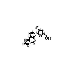 OC[C@@H]1C[C@@H](F)[C@H](n2cnc3c2ncn2ccnc32)O1